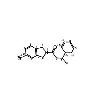 CC(CC(=O)N1Cc2ccc(Br)cc2C1)c1ccccc1